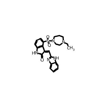 CCN1CCCN(S(=O)(=O)c2cccc3c2/C(=C/c2nc4ccccc4[nH]2)C(=O)N3)CC1